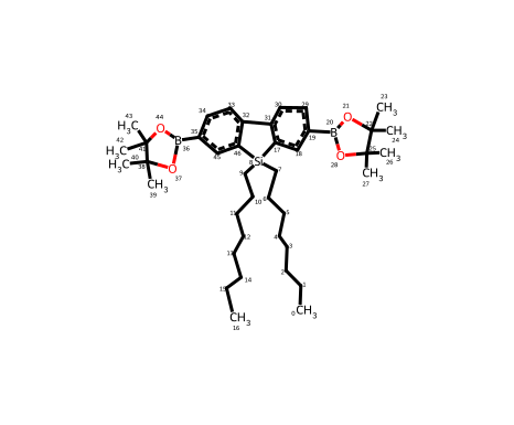 CCCCCCCC[Si]1(CCCCCCCC)c2cc(B3OC(C)(C)C(C)(C)O3)ccc2-c2ccc(B3OC(C)(C)C(C)(C)O3)cc21